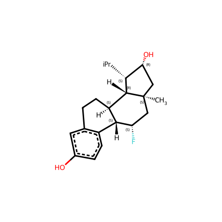 CC(C)[C@H]1[C@H]2[C@@H]3CCc4cc(O)ccc4[C@H]3[C@@H](F)C[C@]2(C)C[C@H]1O